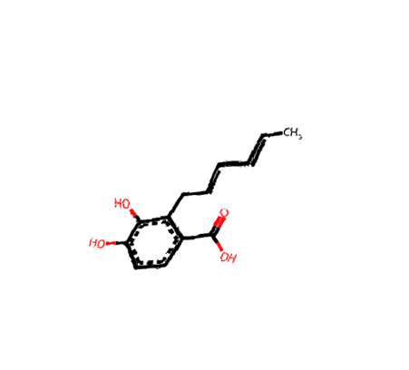 C/C=C/C=C/Cc1c(C(=O)O)ccc(O)c1O